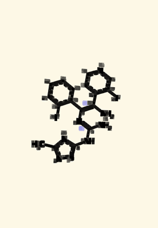 Cc1nsc(N/C(N)=N/C(=C(\N)c2ccncc2F)c2ccccc2F)n1